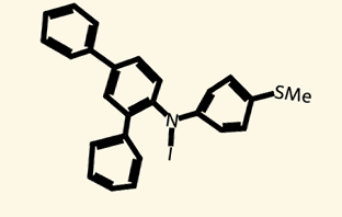 CSc1ccc(N(I)c2ccc(-c3ccccc3)cc2-c2ccccc2)cc1